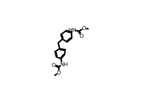 COC(=O)Nc1ccc(Cc2ccc(NC(=O)OC)cc2)cc1